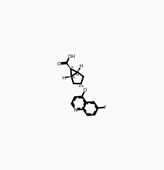 O=C(O)[C@H]1[C@@H]2C[C@H](Oc3ccnc4ccc(F)cc34)C[C@@H]21